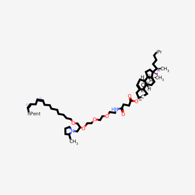 CCCCC/C=C\C/C=C\CCCCCCCCOCC(CN1CCCC1C)OCCOCCOCCNC(=O)CCC(=O)O[C@H]1CC[C@@]2(C)C(=CC[C@@H]3[C@@H]2CC[C@@]2(C)[C@H]3CC[C@]2(I)[C@H](C)CCCC(C)C)C1